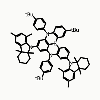 Cc1cc(C)c2c(c1)C1(C)CCCCC1(C)N2c1ccc2c(c1)N(c1ccc(C(C)(C)C)cc1)c1cc(N3c4c(C)cc(C)cc4C4(C)CCCCC34C)cc3c1B2c1cc(C(C)(C)C)ccc1N3c1ccc(C(C)(C)C)cc1